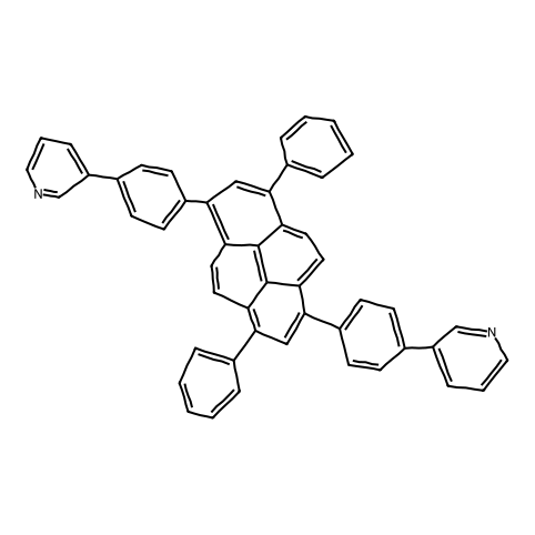 c1ccc(-c2cc(-c3ccc(-c4cccnc4)cc3)c3ccc4c(-c5ccccc5)cc(-c5ccc(-c6cccnc6)cc5)c5ccc2c3c45)cc1